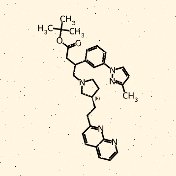 Cc1ccn(-c2cccc(C(CC(=O)OC(C)(C)C)CN3CC[C@@H](CCc4ccc5cccnc5n4)C3)c2)n1